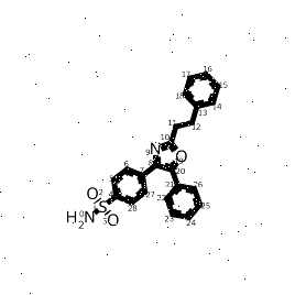 NS(=O)(=O)c1ccc(-c2nc(CCc3ccccc3)oc2-c2ccccc2)cc1